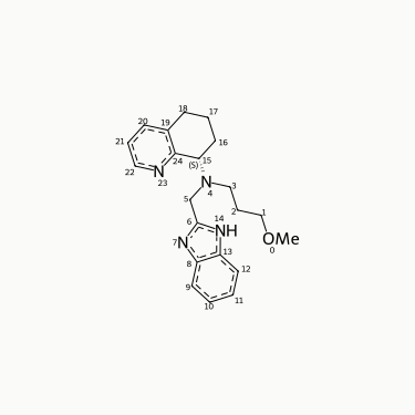 COCCCN(Cc1nc2ccccc2[nH]1)[C@H]1CCCc2cccnc21